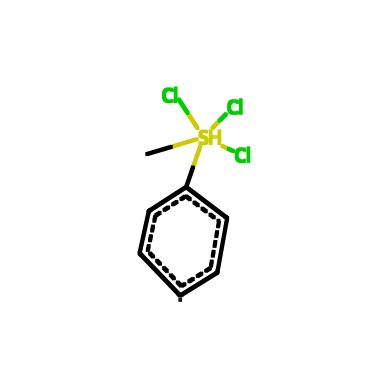 C[SH](Cl)(Cl)(Cl)c1cc[c]cc1